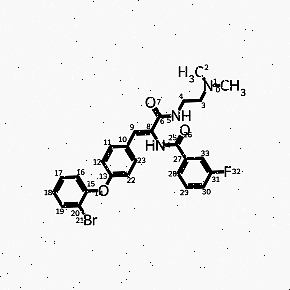 CN(C)CCNC(=O)C(=Cc1ccc(Oc2ccccc2Br)cc1)NC(=O)c1cccc(F)c1